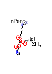 C=CCC(CC)CCCC(=O)OCC(COC(=O)CCCCCCC/C=C\C/C=C\CCCCC)COC(=O)CCN1CCCC1